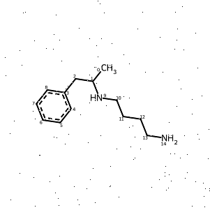 CC(Cc1ccccc1)NCCCCN